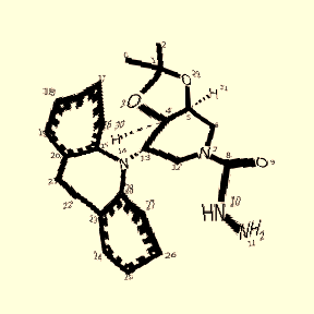 CC1(C)O[C@H]2[C@H](CN(C(=O)NN)C[C@@H]2N2c3ccccc3CCc3ccccc32)O1